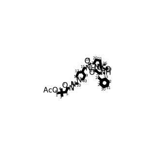 CC(=O)OCC(C)(C)CC(=O)N=NCN1CCC(CNC(=O)[C@@H]2CCCN2C(=O)[C@@H](Cc2ccccc2)NS(C)(=O)=O)CC1